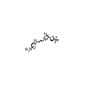 NC(=O)/C=C\NCCCCN1C[C@@H]2C[C@]2([C@H]2C=CC(C(F)(F)F)=CC2)C1